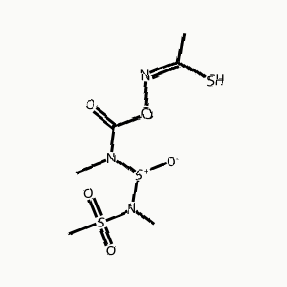 CC(S)=NOC(=O)N(C)[S+]([O-])N(C)S(C)(=O)=O